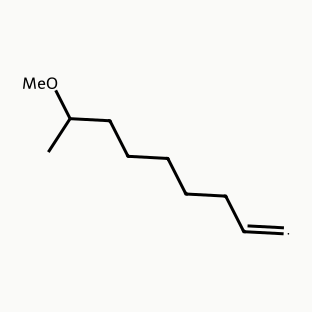 [CH]=CCCCCCC(C)OC